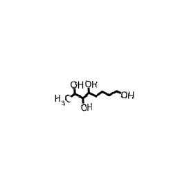 CC(O)C(O)C(O)CCCCO